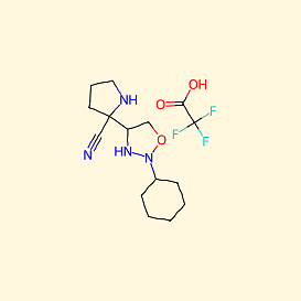 N#CC1(C2CON(C3CCCCC3)N2)CCCN1.O=C(O)C(F)(F)F